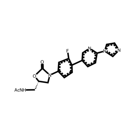 CC(=O)NC[C@H]1CN(c2ccc(-c3ccc(-n4ccnc4)nc3)c(F)c2)C(=O)O1